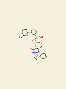 O=C([C@H](O)c1cccc(-c2cccc(C(F)(F)F)n2)c1)N1CCCc2nc(C3(c4ccccc4)CC3)[nH]c(=O)c2C1